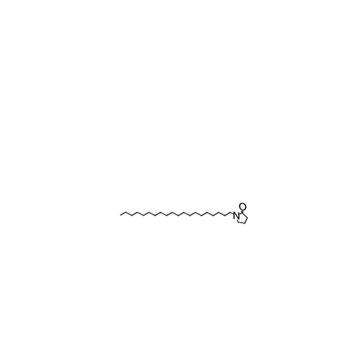 CCCCCCCCCCCCCCCCCCCCN1CCCC1=O